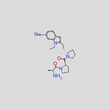 CCn1c(CC[C@@H]2CCCN2C(=O)[C@H]2CCCN2C(=O)[C@H](C)N)cc2ccc(C#N)cc21